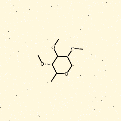 COC1[CH]OC(C)[C@H](OC)C1OC